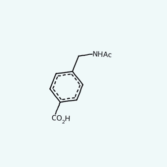 CC(=O)NCc1ccc(C(=O)O)cc1